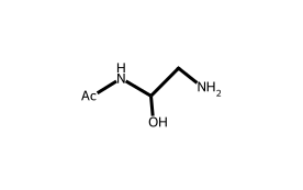 CC(=O)NC(O)CN